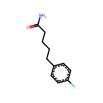 NC(=O)CCCCc1ccc(F)cc1